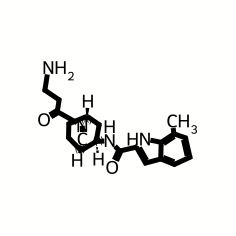 Cc1cccc2cc(C(=O)N[C@@H]3C[C@H]4CC[C@@H]3CN4C(=O)CCN)[nH]c12